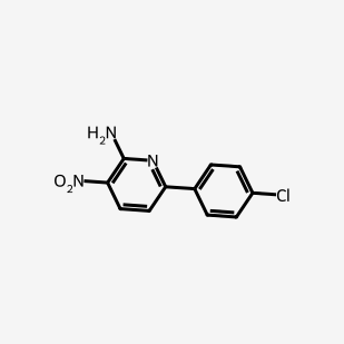 Nc1nc(-c2ccc(Cl)cc2)ccc1[N+](=O)[O-]